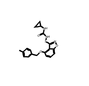 Cc1ccc(COc2cccc3onc(SNC(=O)NC4CC4)c23)cc1